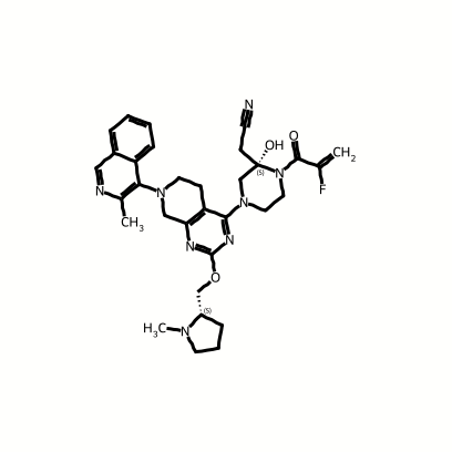 C=C(F)C(=O)N1CCN(c2nc(OC[C@@H]3CCCN3C)nc3c2CCN(c2c(C)ncc4ccccc24)C3)C[C@@]1(O)CC#N